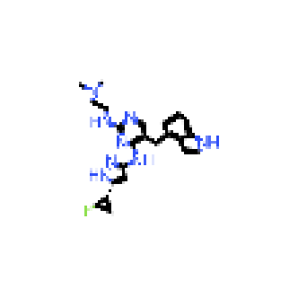 CN(C)CCNc1ncc(Cc2cccc3[nH]ccc23)c(Nc2cc([C@@H]3C[C@H]3F)[nH]n2)n1